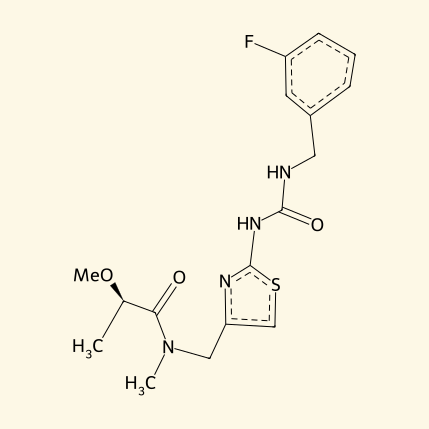 CO[C@H](C)C(=O)N(C)Cc1csc(NC(=O)NCc2cccc(F)c2)n1